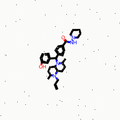 C=CCN1C(C)CCC2C1CCC(C)N2C(c1ccc(C(=O)NN2CCCCC2)cc1)c1cccc(O)c1